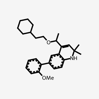 COc1ccccc1-c1ccc2c(c1)C(C(C)OCCC1CCCCC1)=CC(C)(C)N2